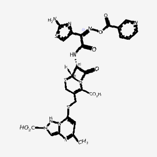 CC1=NC2=CN(C(=O)O)NN2C(SCC2=C(C(=O)O)N3C(=O)[C@@H](NC(=O)/C(=N\OC(=O)c4cccnc4)c4csc(N)n4)[C@H]3SC2)=C1